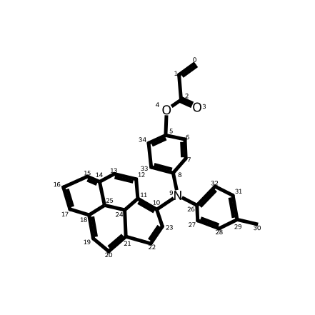 C=CC(=O)Oc1ccc(N(C2=C3C=CC4=CC=CC5=CC=C(C=C2)C3C45)c2ccc(C)cc2)cc1